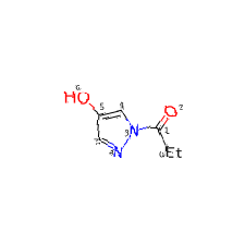 CCC(=O)n1cc(O)[c]n1